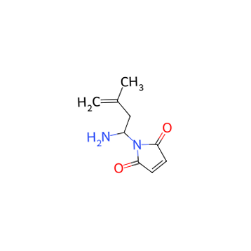 C=C(C)CC(N)N1C(=O)C=CC1=O